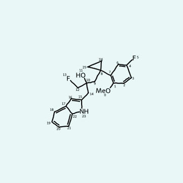 COc1ccc(F)cc1C1(CC(O)(CF)Cc2cc3ccccc3[nH]2)CC1